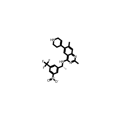 Cc1nc(N[C@H](C)c2cc([N+](=O)[O-])cc(C(F)(F)F)c2)c2cc(C3=CCNCC3)c(C)cc2n1